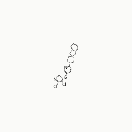 Clc1nccc(Sc2ccc(C3CCC4(CC3)Cc3ccccc3C4)nc2)c1Cl